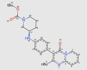 CCCCc1nc2ccccn2c(=O)c1-c1ccc(N[C@@H]2CCCN(C(=O)OC(C)(C)C)C2)cc1